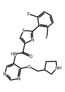 O=C(Nc1cncnc1OCC1CCNC1)c1csc(-c2c(F)cccc2F)n1